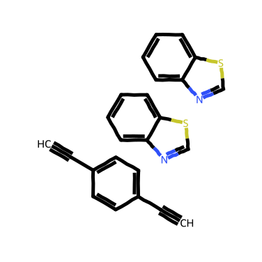 C#Cc1ccc(C#C)cc1.c1ccc2scnc2c1.c1ccc2scnc2c1